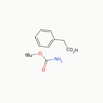 CC(C)(C)OC(N)=O.O=C(O)Cc1ccccc1